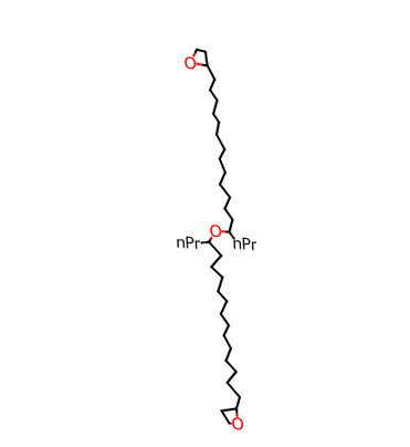 CCCC(CCCCCCCCCCCCCC1CCO1)OC(CCC)CCCCCCCCCCCCCC1CCO1